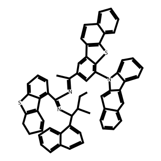 CCC(C)C(/N=C(\N=C(/C)c1cc(-n2c3ccccc3c3cc4ccccc4cc32)c2sc3c4ccccc4ccc3c2c1)c1cccc2sc3c(c12)C=CCC3)c1cccc2ccccc12